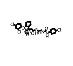 O=C(CC1(c2ccccc2Oc2ccc(Cl)cc2Cl)N=NN=N1)NCCNC(=O)Nc1ccc(Cl)cc1